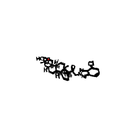 COC[C@]12CC[C@@](C)(O)C[C@@H]1CC[C@H]1[C@@H]3CC[C@H](C(=O)Cn4nc5cccc(Cl)c5n4)[C@@]3(C)CC[C@@H]12